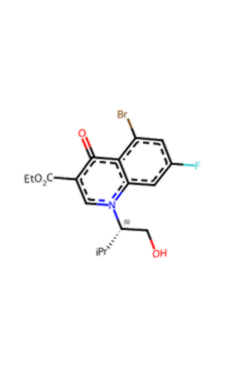 CCOC(=O)c1cn([C@H](CO)C(C)C)c2cc(F)cc(Br)c2c1=O